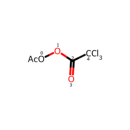 CC(=O)OOC(=O)C(Cl)(Cl)Cl